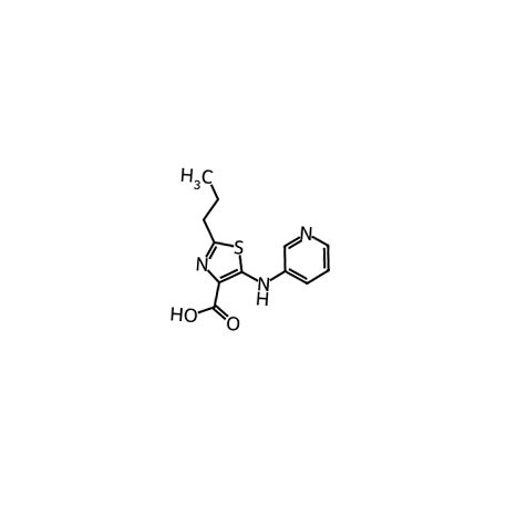 CCCc1nc(C(=O)O)c(Nc2cccnc2)s1